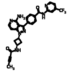 CC#CC(=O)N[C@H]1C[C@@H](n2nc(-c3ccc(C(=O)Nc4cc(C(F)(F)F)ccn4)cc3)c3c(N)nccc32)C1